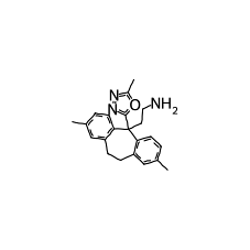 Cc1ccc2c(c1)CCc1cc(C)ccc1C2(CCN)c1nnc(C)o1